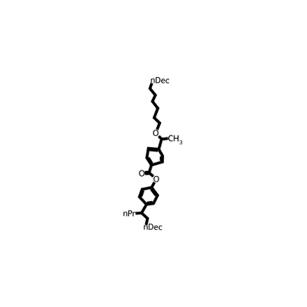 CCCCCCCCCCCCCCCCOC(C)c1ccc(C(=O)Oc2ccc(C(CCC)CCCCCCCCCCC)cc2)cc1